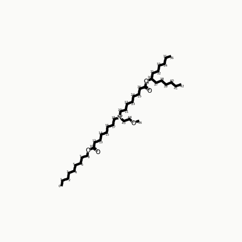 CCCCCCCCCOC(=O)CCCCCCCN(CCCCCCCC(=O)OC(CCCCCC)CCCCCC)CCOC